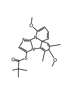 COC1=CC=CC23C=C(C)C(OC)C(C)=C2n2c(SC(=O)C(C)(C)C)cnc2N13